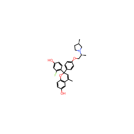 CC1=CC(c2ccc(OC[C@H](C)N3CC[C@@H](C)C3)cc2)(c2ccc(O)cc2F)Oc2ccc(O)cc21